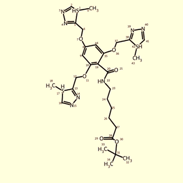 C[SH]1C=NN=C1COc1cc(OCC2=NN=C[SH]2C)c(C(=O)NCCCCCC(=O)OC(C)(C)C)c(OCC2=NN=C[SH]2C)c1